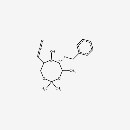 CC1OC(C)(C)OCC(N=[N+]=[N-])[C@@H](O)[C@@H]1OCc1ccccc1